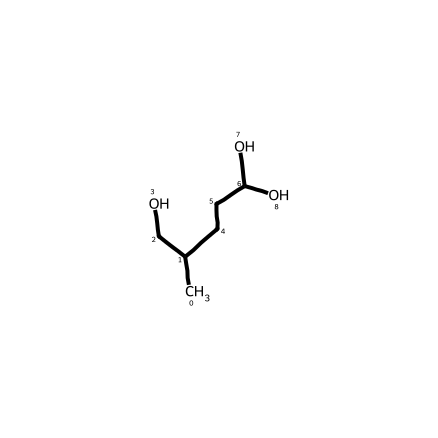 CC(CO)CCC(O)O